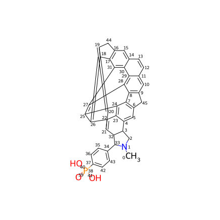 CN1CC2c3cc4c5c6c(cc7ccc8cc9c%10c%11c(cc(c%12c3c5c(c%12%11)c3c6c7c8c%103)C2C1c1ccc(P(=O)(O)O)cc1)C9)C4